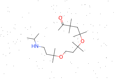 CC(=O)C(C)(C)CC(C)(C)OC(C)(C)CCOC(C)(C)CCNC(C)C